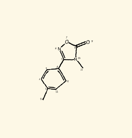 Cc1ccc(-c2noc(=O)n2C)cc1